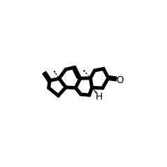 C=C1CCC2C3CC[C@@H]4CC(=O)CC[C@]4(C)C3=CC[C@]12C